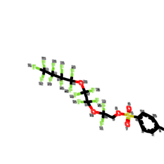 Cc1ccc(S(=O)(=O)OCC(F)(F)OC(F)(F)C(F)(F)OC(F)(F)C(F)(F)C(F)(F)C(F)(F)F)cc1